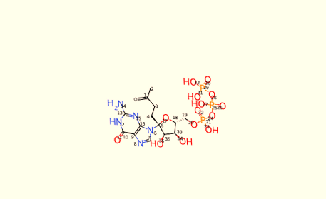 C=C(C)CC[C@@]1(n2cnc3c(=O)[nH]c(N)nc32)O[C@H](COP(=O)(O)OP(=O)(O)OP(=O)(O)O)[C@@H](O)[C@H]1O